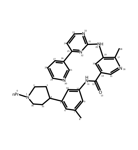 CCCN1CCC(c2cc(C)cc(NC(=O)c3cnc(C)c(Nc4nccc(-c5cccnc5)n4)c3)c2)CC1